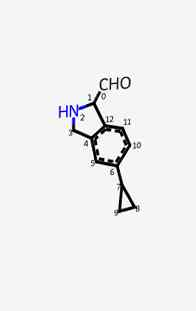 O=CC1NCc2cc(C3CC3)ccc21